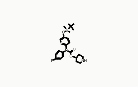 CC(C)(C)[Si](C)(C)Oc1ccc(N(C(=O)OC2CCNCC2)c2ccc(F)cc2)nc1